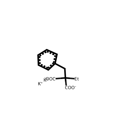 CCC(Cc1ccccc1)(C(=O)[O-])C(=O)[O-].[K+].[K+]